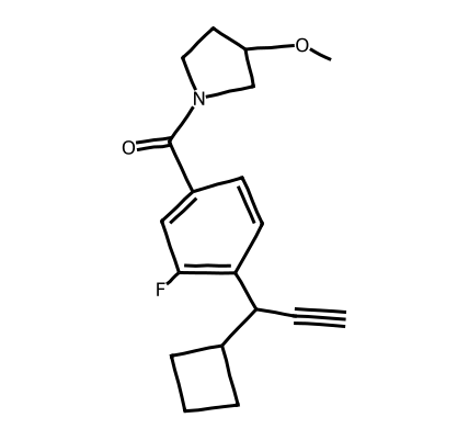 C#CC(c1ccc(C(=O)N2CCC(OC)C2)cc1F)C1CCC1